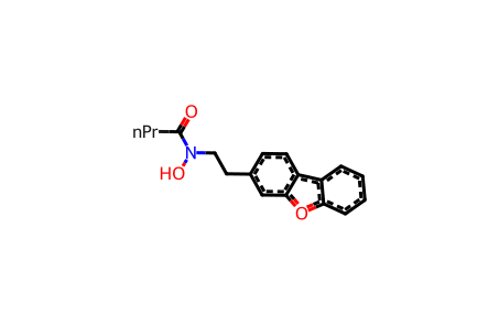 CCCC(=O)N(O)CCc1ccc2c(c1)oc1ccccc12